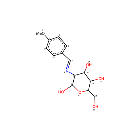 COc1ccc(/C=N/C2C(O)OC(CO)C(O)C2O)cc1